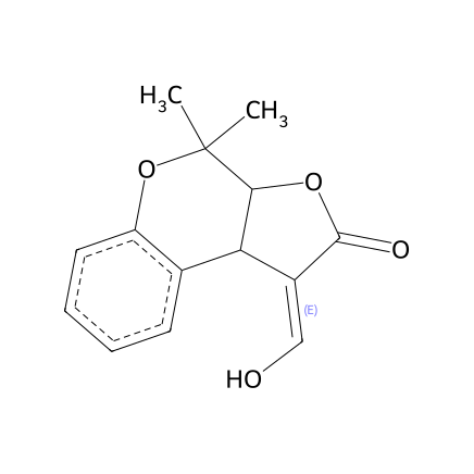 CC1(C)Oc2ccccc2C2/C(=C\O)C(=O)OC21